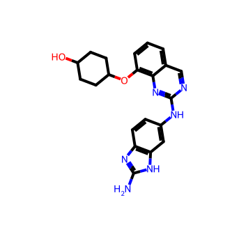 Nc1nc2ccc(Nc3ncc4cccc(OC5CCC(O)CC5)c4n3)cc2[nH]1